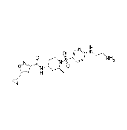 C[C@H]1C[C@H](NC(=O)c2cc(C3CC3)on2)CCN1S(=O)(=O)c1ccc(NCCN)nc1